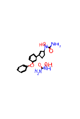 NC(=O)N(O)C1C=C(c2cccc(Oc3ccccc3)c2)CC1.NC(=O)NO